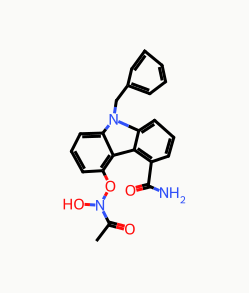 CC(=O)N(O)Oc1cccc2c1c1c(C(N)=O)cccc1n2Cc1ccccc1